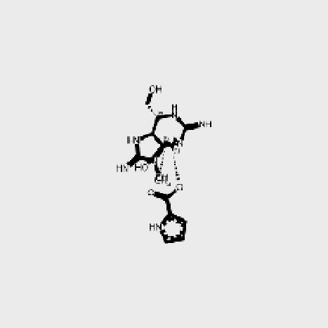 C[C@]1(O)[C@@H](OC(=O)c2ccc[nH]2)CN2C(=N)N[C@@H](CO)C3NC(=N)N(O)C321